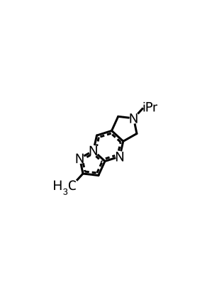 Cc1cc2nc3c(cn2n1)CN(C(C)C)C3